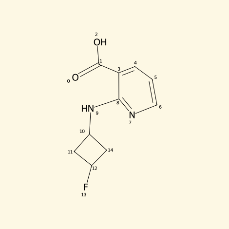 O=C(O)c1cccnc1NC1CC(F)C1